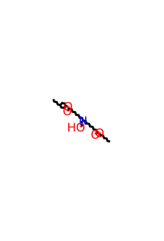 CCCCCCOC(=O)CCCCCCCN(CCO)CCCCCCCC(=O)OC1CCC(CCCC)CC1